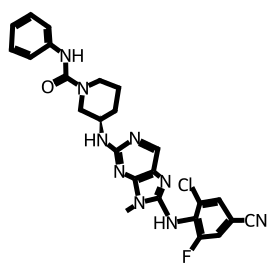 Cn1c(Nc2c(F)cc(C#N)cc2Cl)nc2cnc(N[C@@H]3CCCN(C(=O)Nc4ccccc4)C3)nc21